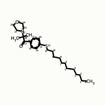 CCCCCCCCCCCCSc1ccc(C(=O)C(C)(C)N2CCOCC2)cc1